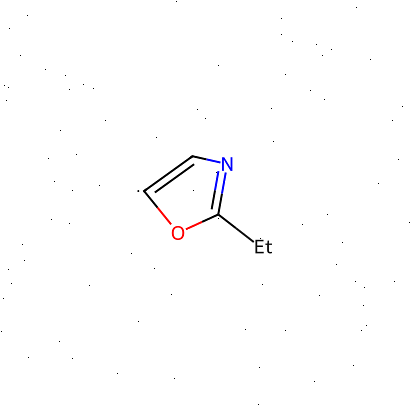 CCc1nc[c]o1